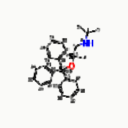 CC(C)NC[Si](C)(C)O[Si](c1ccccc1)(c1ccccc1)c1ccccc1